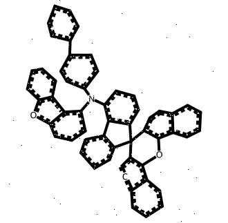 c1ccc(-c2ccc(N(c3cccc4c3-c3ccccc3C43c4ccc5ccccc5c4Oc4c3ccc3ccccc43)c3cccc4oc5ccccc5c34)cc2)cc1